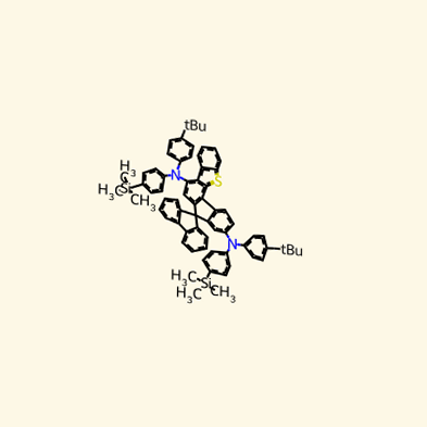 CC(C)(C)c1ccc(N(c2ccc([Si](C)(C)C)cc2)c2ccc3c(c2)C2(c4ccccc4-c4ccccc42)c2cc(N(c4ccc(C(C)(C)C)cc4)c4ccc([Si](C)(C)C)cc4)c4c(sc5ccccc54)c2-3)cc1